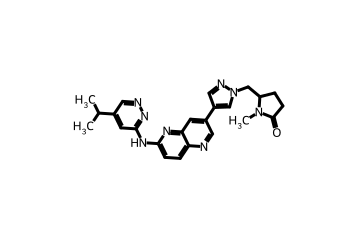 CC(C)c1cnnc(Nc2ccc3ncc(-c4cnn(CC5CCC(=O)N5C)c4)cc3n2)c1